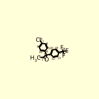 CC1OC1(c1ccc(Cl)cc1)c1ccc(C(F)(F)F)cc1